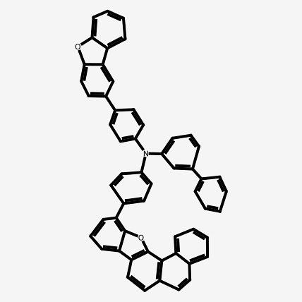 c1ccc(-c2cccc(N(c3ccc(-c4ccc5oc6ccccc6c5c4)cc3)c3ccc(-c4cccc5c4oc4c5ccc5ccc6ccccc6c54)cc3)c2)cc1